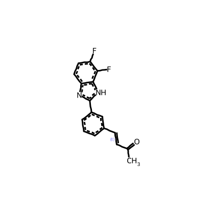 CC(=O)/C=C/c1cccc(-c2nc3ccc(F)c(F)c3[nH]2)c1